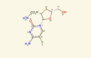 NC(=O)O.Nc1nc(=O)n([C@@H]2CS[C@H](CO)O2)cc1F